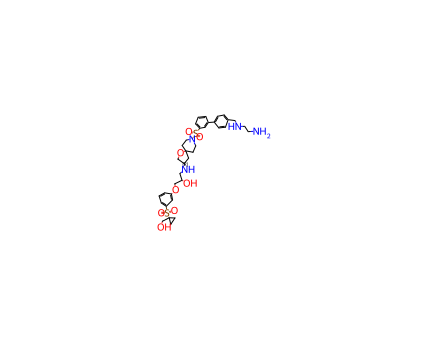 NCCNCc1ccc(-c2cccc(S(=O)(=O)N3CCC4(CC3)C[C@@H](NCC(O)COc3cccc(S(=O)(=O)C5(CO)CC5)c3)CO4)c2)cc1